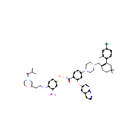 Cc1cc(C(F)(F)F)ccc1C1=C(CN2CCN(c3ccc(C(=O)NS(=O)(=O)c4ccc(NCCC5CN(C(=O)C(C)C)CCO5)c([N+](=O)[O-])c4)c(Oc4cnc5[nH]ccc5c4)c3)CC2)CCC(C)(C)C1